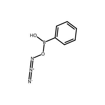 [N-]=[N+]=NOB(O)c1ccccc1